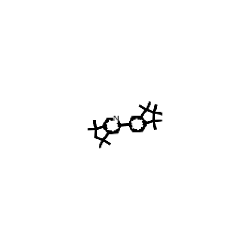 CC1(C)CC(C)(C)c2cc(-c3ccc4c(c3)C(C)(C)C(C)(C)C4(C)C)ncc21